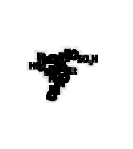 CCN(CC)c1ccc(/N=N/c2nc3ccccc3s2)c(Nc2nc(Nc3cc(N(CC)CC)ccc3/N=N/c3nc4ccc(S(=O)(=O)O)cc4s3)nc(SCCO)n2)c1